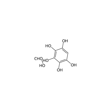 O=CO.Oc1cc(O)c(O)c(O)c1O